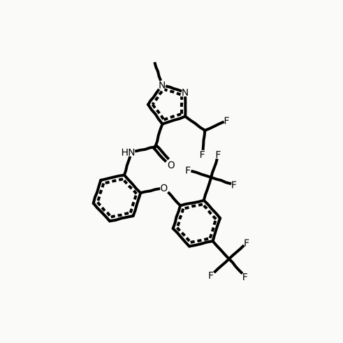 Cn1cc(C(=O)Nc2ccccc2Oc2ccc(C(F)(F)F)cc2C(F)(F)F)c(C(F)F)n1